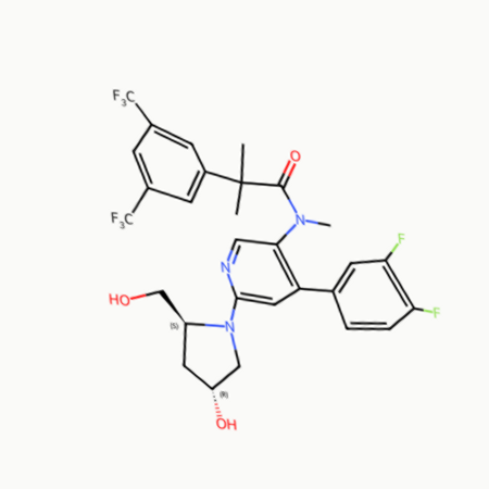 CN(C(=O)C(C)(C)c1cc(C(F)(F)F)cc(C(F)(F)F)c1)c1cnc(N2C[C@H](O)C[C@H]2CO)cc1-c1ccc(F)c(F)c1